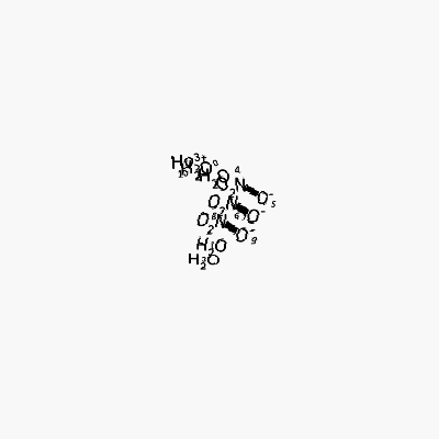 O.O.O.O.O=[N+]([O-])[O-].O=[N+]([O-])[O-].O=[N+]([O-])[O-].[Ho+3]